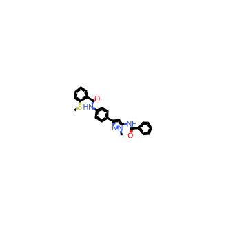 CSc1ccccc1C(=O)Nc1ccc(-c2cc(NC(=O)c3ccccc3)n(C)n2)cc1